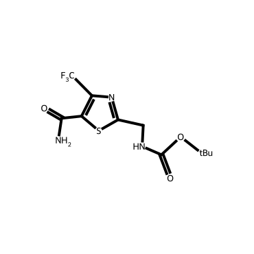 CC(C)(C)OC(=O)NCc1nc(C(F)(F)F)c(C(N)=O)s1